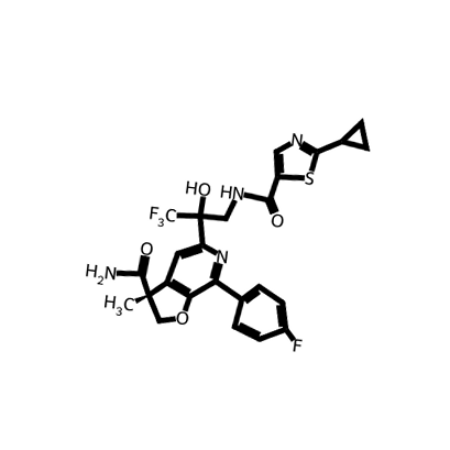 C[C@]1(C(N)=O)COc2c1cc(C(O)(CNC(=O)c1cnc(C3CC3)s1)C(F)(F)F)nc2-c1ccc(F)cc1